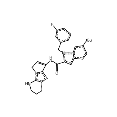 CC(C)(C)c1ccc2cc(C(=O)NC3=CCn4c3nc3c4NCCC3)n(Cc3cccc(F)c3)c2c1